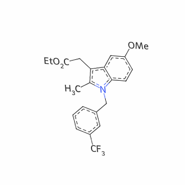 CCOC(=O)Cc1c(C)n(Cc2cccc(C(F)(F)F)c2)c2ccc(OC)cc12